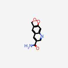 NC(=O)c1cnc2cc3c(cc2c1)COO3